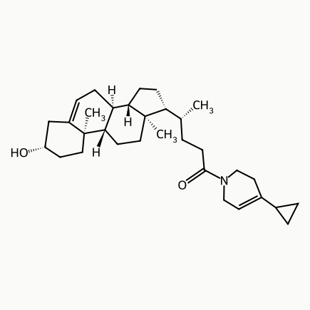 C[C@H](CCC(=O)N1CC=C(C2CC2)CC1)[C@H]1CC[C@H]2[C@@H]3CC=C4C[C@@H](O)CC[C@]4(C)[C@H]3CC[C@]12C